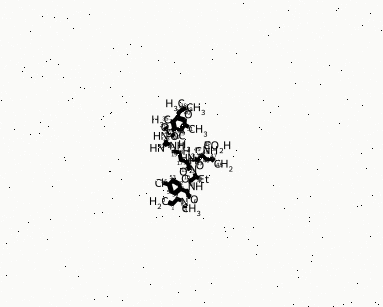 C=CCN(C)C(=O)C(NC(=O)C(CC)NC(=O)C(CCCNC(=N)NS(=O)(=O)c1c(C)c(C)c2c(c1C)CC(C)(C)O2)NC(=O)C(C)(CC=C)NC(=O)O)c1ccc(Cl)cc1